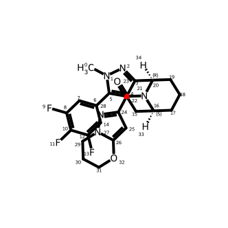 Cn1nc2c(c1-c1cc(F)c(F)c(F)c1)C[C@@H]1CCC[C@H]2N1C(=O)c1cc2n(n1)CCCO2